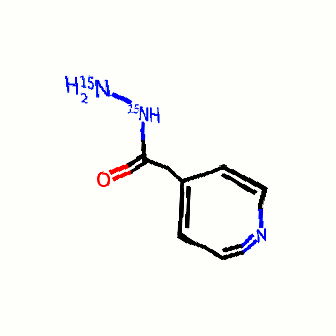 [15NH2][15NH]C(=O)c1ccncc1